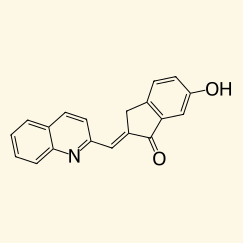 O=C1/C(=C/c2ccc3ccccc3n2)Cc2ccc(O)cc21